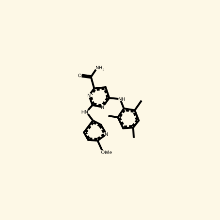 COc1ccc(Nc2nc(Nc3c(C)cc(C)cc3C)cc(C(N)=O)n2)cn1